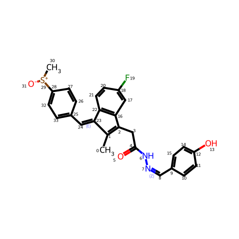 CC1=C(CC(=O)N/N=C\c2ccc(O)cc2)c2cc(F)ccc2/C1=C\c1ccc([S+](C)[O-])cc1